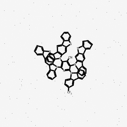 N#Cc1c(-n2c3ccccc3c3cc4c(cc32)sc2ccccc24)c(-n2c3ccccc3c3cc(C(F)(F)F)ccc32)nc(-n2c3ccccc3c3cc4c(cc32)sc2ccccc24)c1-n1c2ccccc2c2cc3c(cc21)sc1ccccc13